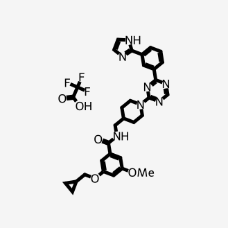 COc1cc(OCC2CC2)cc(C(=O)NCC2CCN(c3ncnc(-c4cccc(-c5ncc[nH]5)c4)n3)CC2)c1.O=C(O)C(F)(F)F